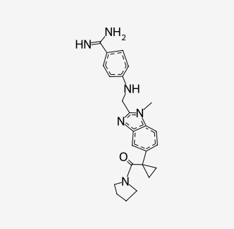 Cn1c(CNc2ccc(C(=N)N)cc2)nc2cc(C3(C(=O)N4CCCC4)CC3)ccc21